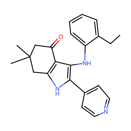 CCc1ccccc1Nc1c(-c2ccncc2)[nH]c2c1C(=O)CC(C)(C)C2